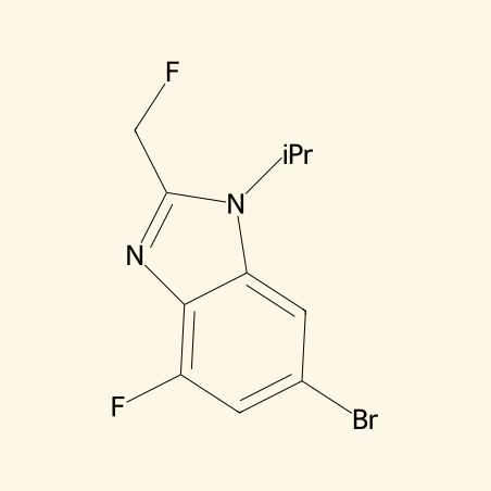 CC(C)n1c(CF)nc2c(F)cc(Br)cc21